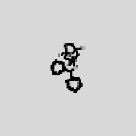 CCN1[C@@H]2CC[C@H]1CC(OC(c1ccccc1)c1ccccc1)C2